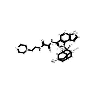 O=C(NCCN1CCOCC1)C(=O)Nc1nn([C@H]2[C@@H]3CC4C[C@H]2C[C@@](O)(C4)C3)c2c1cnc1[nH]ccc12